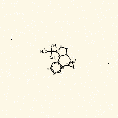 CC1CCN(C(C)(C)C)C1c1ccccc1C1CC1